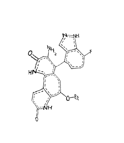 CCOc1cc2c(-c3ccc(F)c4[nH]ncc34)c(N)c(=O)[nH]c2c2ccc(=O)[nH]c12